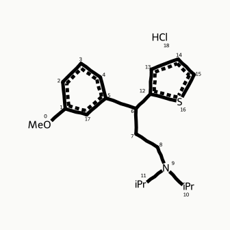 COc1cccc(C(CCN(C(C)C)C(C)C)c2cccs2)c1.Cl